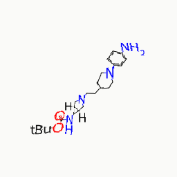 CC(C)(C)OC(=O)NC1[C@H]2CN(CCC3CCN(c4ccc(N)cc4)CC3)C[C@@H]12